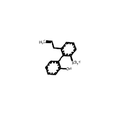 C=CCc1cccc(S(=O)(=O)O)c1-c1ccccc1O